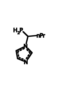 CCCC(P)n1ccnc1